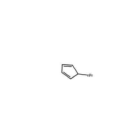 CCCC1C=CC=C1